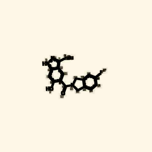 CCCCc1n[nH]c2cc(O)c(C(=O)N3Cc4ccc(F)cc4C3)cc12